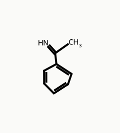 CC(=N)c1ccccc1